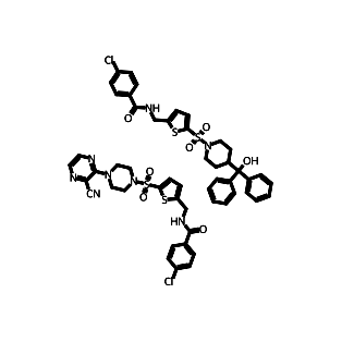 N#Cc1nccnc1N1CCN(S(=O)(=O)c2ccc(CNC(=O)c3ccc(Cl)cc3)s2)CC1.O=C(NCc1ccc(S(=O)(=O)N2CCC(C(O)(c3ccccc3)c3ccccc3)CC2)s1)c1ccc(Cl)cc1